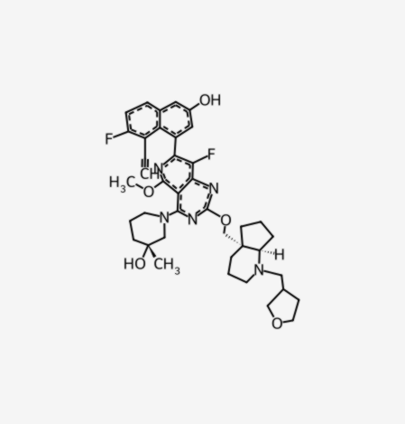 C#Cc1c(F)ccc2cc(O)cc(-c3nc(OC)c4c(N5CCC[C@@](C)(O)C5)nc(OC[C@]56CCC[C@H]5N(CC5CCOC5)CCC6)nc4c3F)c12